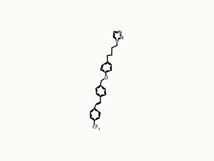 FC(F)(F)c1ccc(C=Cc2ccc(COc3ccc(CCCCn4ccnn4)cc3)cc2)cc1